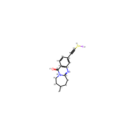 CC1CCc2nc3cc(C#CSI)ccc3c(=O)n2CC1